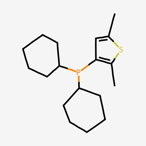 Cc1cc(P(C2CCCCC2)C2CCCCC2)c(C)s1